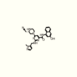 Cn1nccc1CNc1nc(C(=O)Nc2cc(O)cc3ccccc23)cc(N2CCN[C@@H](CC#N)C2)n1